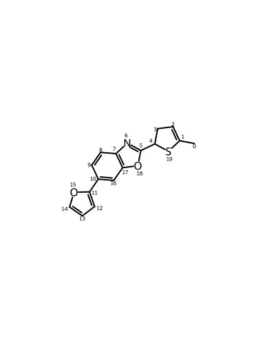 CC1=CCC(c2nc3ccc(-c4ccco4)cc3o2)S1